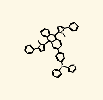 Cn1c(-c2ccccc2)ccc1-c1c2ccccc2c(-c2ccc(-c3ccccc3)n2C)c2cc(-c3ccc(N(c4ccccc4)c4cccnc4)cc3)ccc12